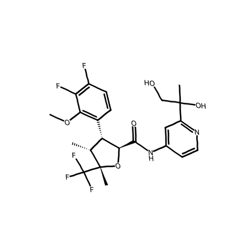 COc1c([C@@H]2[C@@H](C(=O)Nc3ccnc(C(C)(O)CO)c3)O[C@](C)(C(F)(F)F)[C@@H]2C)ccc(F)c1F